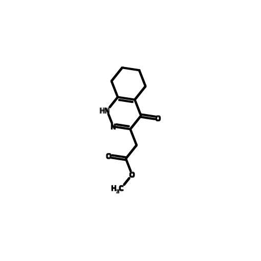 COC(=O)Cc1n[nH]c2c(c1=O)CCCC2